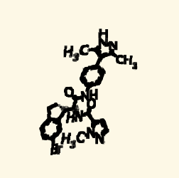 Cc1n[nH]c(C)c1-c1ccc(NC(=O)[C@@H](NC(=O)c2ccnn2C)[C@H]2CCc3ccc(Br)cc32)cc1